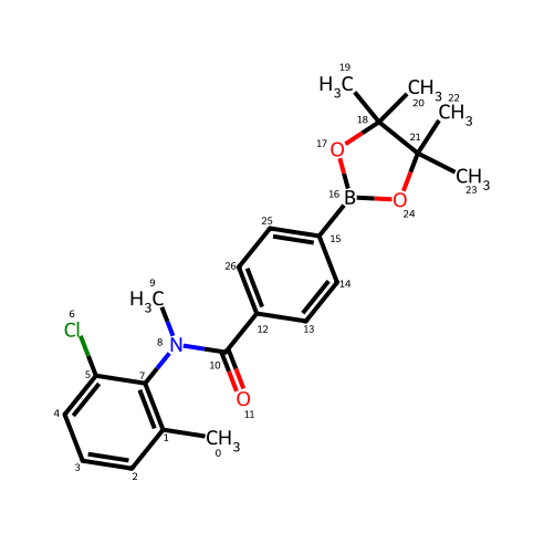 Cc1cccc(Cl)c1N(C)C(=O)c1ccc(B2OC(C)(C)C(C)(C)O2)cc1